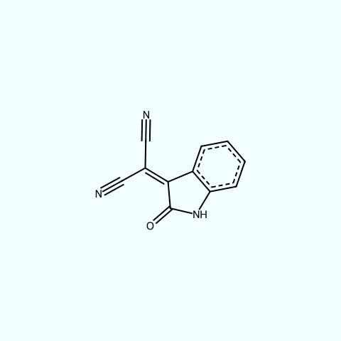 N#CC(C#N)=C1C(=O)Nc2ccccc21